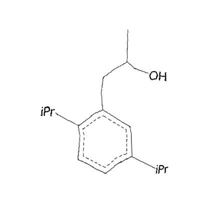 CC(O)Cc1cc(C(C)C)ccc1C(C)C